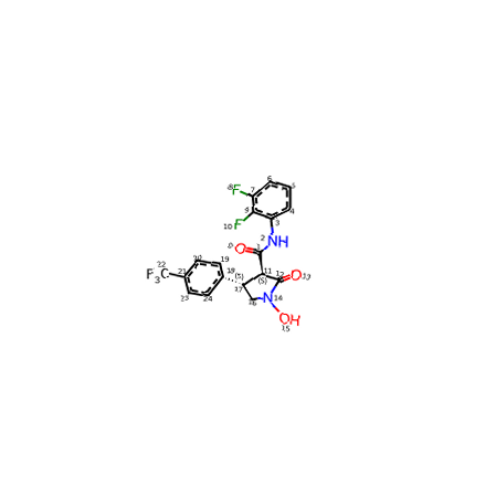 O=C(Nc1cccc(F)c1F)[C@H]1C(=O)N(O)C[C@@H]1c1ccc(C(F)(F)F)cc1